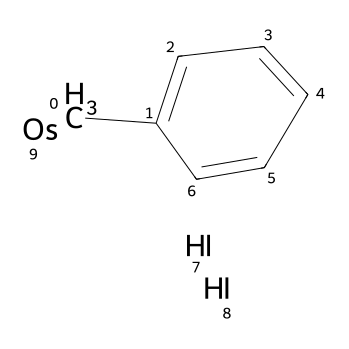 Cc1ccccc1.I.I.[Os]